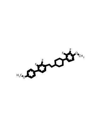 COc1ccc(-c2ccc(CCC3CCC(c4ccc(OC)c(F)c4F)CC3)c(F)c2F)cc1